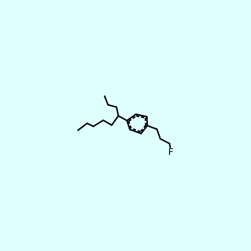 CCCCCC(CCC)c1ccc(CCCF)cc1